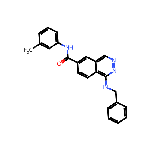 O=C(Nc1cccc(C(F)(F)F)c1)c1ccc2c(NCc3ccccc3)nncc2c1